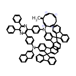 C=C1/C=C\C=C/C/C=C\C(N(c2ccc(-c3nc(-c4ccccc4)c(-c4ccccc4)nc3-c3ccc(N(c4ccc5c(c4)C4(c6ccccc6-c6ccccc64)c4ccccc4-5)c4ccc5ccccc5c4)cc3)cc2)c2ccc3c(c2)C2(c4ccccc4-c4ccccc42)c2ccccc2-3)=C/1